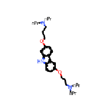 CCCN(CCC)CCCOc1ccc2c(c1)[nH]c1ccc(OCCCN(CCC)CCC)cc12